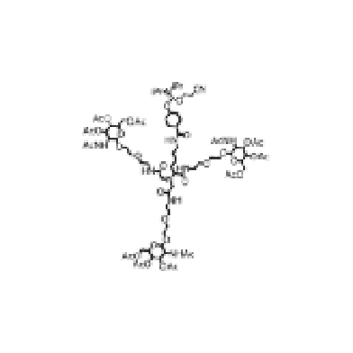 CC(=O)NC1C(OCCOCCNC(=O)CN(CC(=O)NCCOCCOC2OC(COC(C)=O)C(OC(C)=O)C(OC(C)=O)C2NC(C)=O)C(CCCCNC(=O)C2CCC(OP(OCCC#N)N(C(C)C)C(C)C)CC2)C(=O)NCCOCCOC2OC(COC(C)=O)C(OC(C)=O)C(OC(C)=O)C2NC(C)=O)OC(COC(C)=O)C(OC(C)=O)C1OC(C)=O